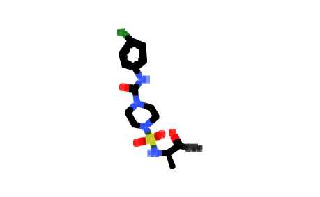 COC(=O)[C@@H](C)NS(=O)(=O)N1CCN(C(=O)Nc2ccc(Cl)cc2)CC1